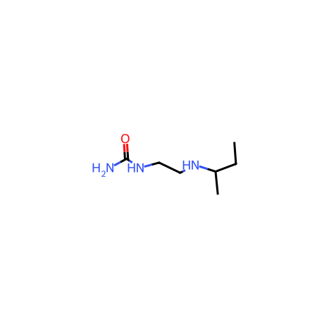 CCC(C)NCCNC(N)=O